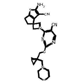 N#Cc1cnc(OCC2(CN3CCOCC3)CC2)nc1N1CC2(CCc3sc(N)c(C#N)c32)C1